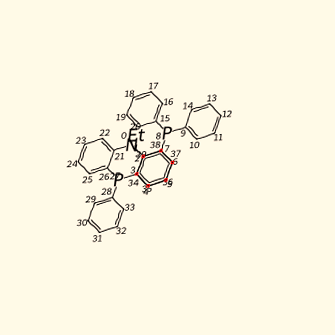 CCN(c1ccccc1P(c1ccccc1)c1ccccc1)c1ccccc1P(c1ccccc1)c1ccccc1